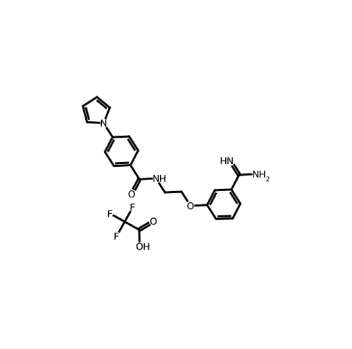 N=C(N)c1cccc(OCCNC(=O)c2ccc(-n3cccc3)cc2)c1.O=C(O)C(F)(F)F